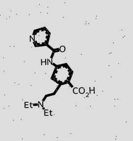 CCN(CC)CCc1cc(NC(=O)c2cccnc2)ccc1C(=O)O